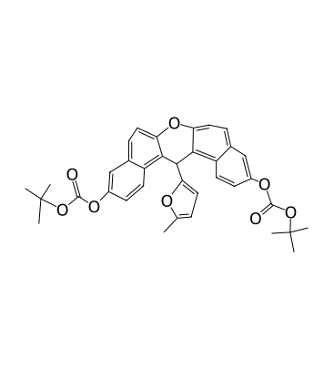 Cc1ccc(C2c3c(ccc4cc(OC(=O)OC(C)(C)C)ccc34)Oc3ccc4cc(OC(=O)OC(C)(C)C)ccc4c32)o1